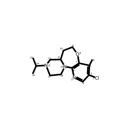 Cc1c(Cl)cnc2c1OCCC1CN(C(C)C)CCN21